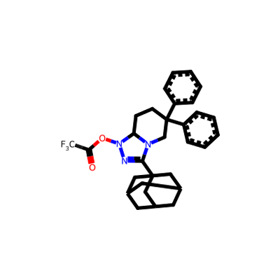 O=C(ON1N=C(C23CC4CC(CC(C4)C2)C3)N2CC(c3ccccc3)(c3ccccc3)CCC12)C(F)(F)F